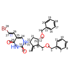 C=C1[C@H](COCc2ccccc2)[C@@H](OCc2ccccc2)C[C@@H]1n1cc(/C=C/Br)c(=O)[nH]c1=O